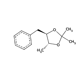 [CH2][C@H]1OC(C)(C)O[C@@H]1Cc1ccccc1